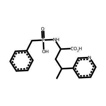 CC(CC(NP(=O)(O)Cc1ccccc1)C(=O)O)c1cccnc1